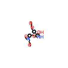 COCCCN1CCOc2ccc(CO[C@H]3CNC[C@@H](O)[C@@H]3c3ccc(COCCOC)cc3)cc21